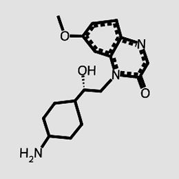 COc1ccc2ncc(=O)n(C[C@@H](O)C3CCC(N)CC3)c2c1